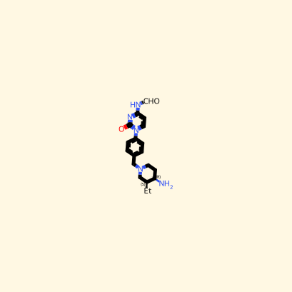 CC[C@H]1CN(Cc2ccc(-n3ccc(NC=O)nc3=O)cc2)CC[C@H]1N